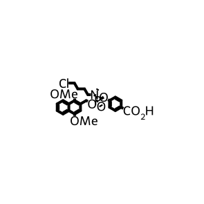 COc1cc(COP(=O)(Oc2ccc(C(=O)O)cc2)N(C)CCCCCl)c(OC)c2ccccc12